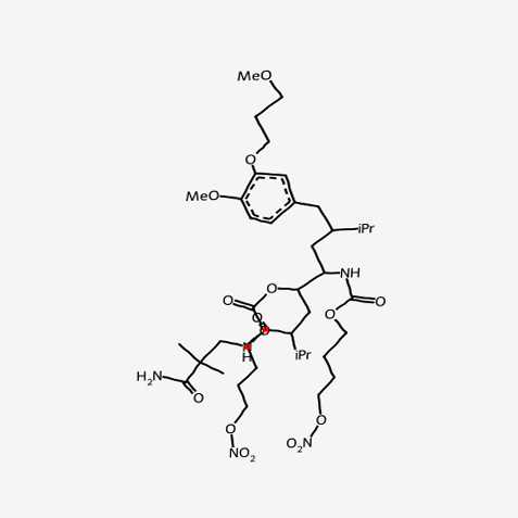 COCCCOc1cc(CC(CC(NC(=O)OCCCCO[N+](=O)[O-])C(CC(C(=O)NCC(C)(C)C(N)=O)C(C)C)OC(=O)OCCCCO[N+](=O)[O-])C(C)C)ccc1OC